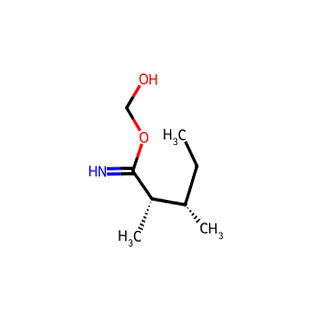 CC[C@H](C)[C@H](C)C(=N)OCO